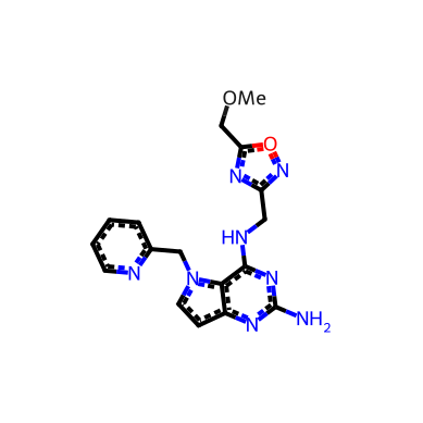 COCc1nc(CNc2nc(N)nc3ccn(Cc4ccccn4)c23)no1